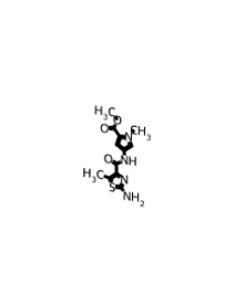 COC(=O)c1cc(NC(=O)c2nc(N)sc2C)cn1C